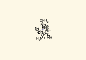 CCn1nc(C)cc1C(=O)Nc1nc2cc(C(N)=O)cnc2n1C/C=C/Cn1c2nc(-c3cc(C)nn3CC)ncc2c2cc(C(N)=O)cc(OCCCN3CCNCC3)c21